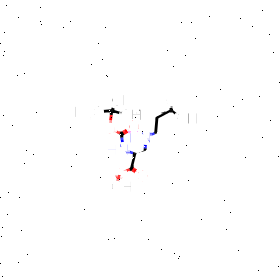 COC(=O)[C@H](CNCCC(C)C)NC(=O)OC(C)(C)C